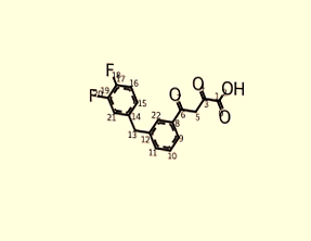 O=C(O)C(=O)CC(=O)c1cccc(Cc2ccc(F)c(F)c2)c1